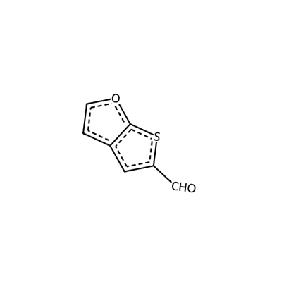 O=Cc1cc2ccoc2s1